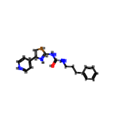 O=C(NCCCc1ccccc1)Nc1nc(-c2ccncc2)cs1